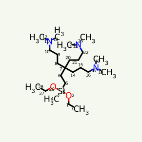 CCO[Si](C)(CCC(CCCN(C)C)(CCCN(C)C)CCCN(C)C)OCC